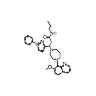 CCCNC(=O)CC(c1ccn(-c2ccccc2)n1)N1CCCN(c2c(OC)ccc3cccnc23)CC1